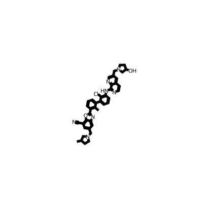 Cc1c(-c2nc3cc(CN4CCC(C)C4)cc(C#N)c3o2)cccc1-c1cccc(Nc2nccc3cc(CN4CCC(O)C4)cnc23)c1Cl